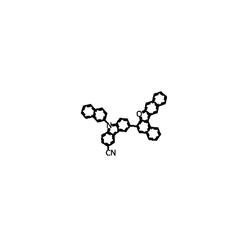 N#Cc1ccc2c(c1)c1cc(-c3cc4ccccc4c4c3oc3cc5ccccc5cc34)ccc1n2-c1ccc2ccccc2c1